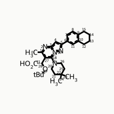 Cc1nc2cc(-c3ccc4c(c3)CCCC4)nn2c(N2CCC(C)(C)CC2)c1[C@H](OC(C)(C)C)C(=O)O